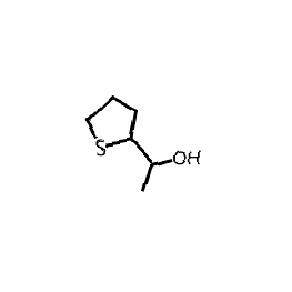 CC(O)C1CCCS1